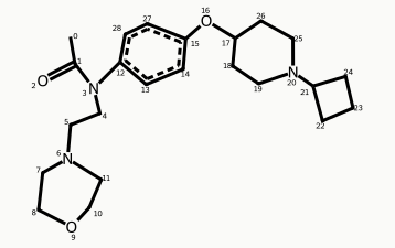 CC(=O)N(CCN1CCOCC1)c1ccc(OC2CCN(C3CCC3)CC2)cc1